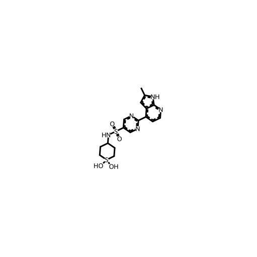 Cc1cc2c(-c3ncc(S(=O)(=O)NC4CCS(O)(O)CC4)cn3)ccnc2[nH]1